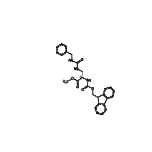 COC(=O)[C@H](CNC(=O)NCc1ccccc1)NC(=O)OCC1c2ccccc2-c2ccccc21